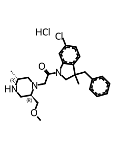 COC[C@H]1CN[C@H](C)CN1CC(=O)N1CC(C)(Cc2ccccc2)c2ccc(Cl)cc21.Cl